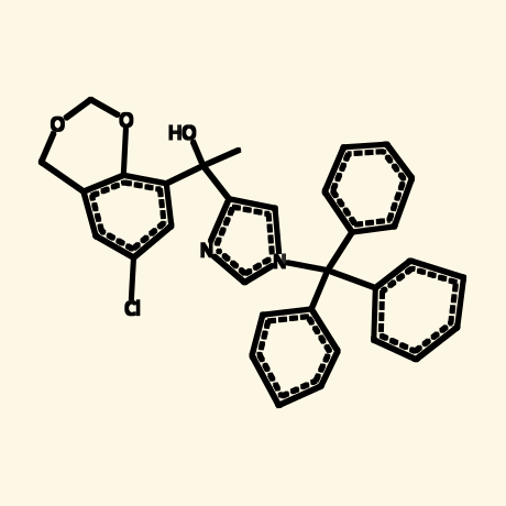 CC(O)(c1cn(C(c2ccccc2)(c2ccccc2)c2ccccc2)cn1)c1cc(Cl)cc2c1OCOC2